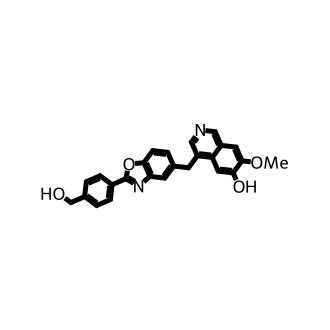 COc1cc2cncc(Cc3ccc4oc(-c5ccc(CO)cc5)nc4c3)c2cc1O